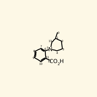 CC1CCCN(c2ccccc2C(=O)O)C1